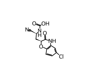 N#C[C@H](C[C@@H]1Oc2ccc(Cl)cc2NC1=O)NC(=O)O